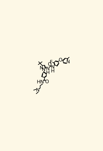 CCN(CC)CCCNC(=O)c1ccc(-n2nc(C(C)(C)C)cc2NC(=O)Nc2ccc(Oc3ccnc(C)c3)cc2F)cc1